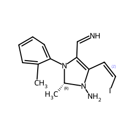 Cc1ccccc1N1C(C=N)=C(/C=C\I)N(N)[C@@H]1C